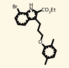 CCOC(=O)c1[nH]c2c(Br)cccc2c1CCCOc1cc(C)ccc1C